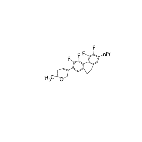 CCCc1cc2c(c(F)c1F)-c1c(cc(C3=CCC(C)OC3)c(F)c1F)CC2